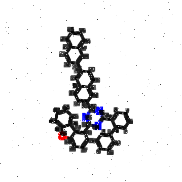 c1ccc(-c2ccccc2-c2nc(-c3ccc4cc(-c5ccc6ccccc6c5)ccc4c3)nc(-c3cccc4oc5ccccc5c34)n2)cc1